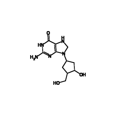 Nc1nc2c(c(=O)[nH]1)NCN2C1CC(O)C(CO)C1